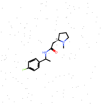 CC(NC(=O)C[C@H]1CCCN1C)c1ccc(F)cc1